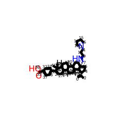 C=C(C)[C@@H]1CC[C@]2(CNCCCN3CCCC3)CC[C@]3(C)[C@H](CC[C@@H]4[C@@]5(C)CC=C(c6ccc(C(=O)O)cc6)C(C)(C)[C@@H]5CC[C@]43C)[C@@H]12